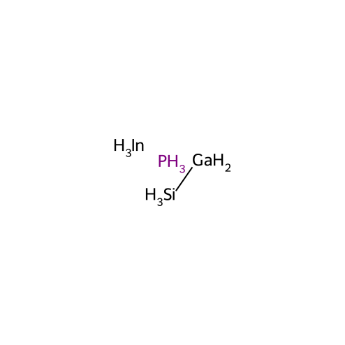 P.[InH3].[SiH3][GaH2]